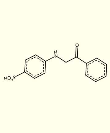 O=C(CNc1ccc(S(=O)(=O)O)cc1)c1ccccc1